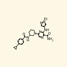 CCn1cc(Nc2nc(N3CCCC(NC(=O)c4ccc(C5CC5)cc4)C3)cnc2C(N)=O)cn1